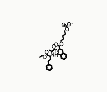 CCOC(=O)C(CCc1ccccc1)NC(C)C(=O)N1Cc2ccccc2CC1C(=O)OCCCCCO[N+](=O)[O-]